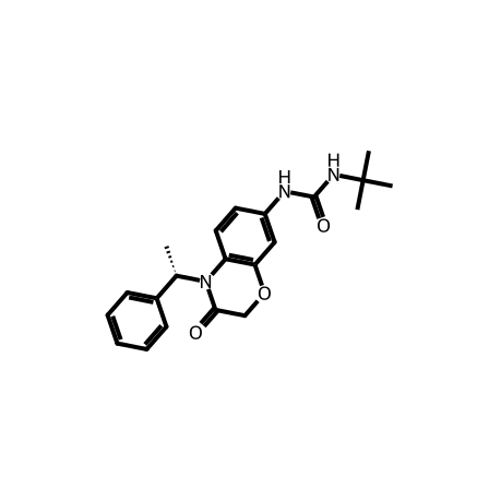 C[C@@H](c1ccccc1)N1C(=O)COc2cc(NC(=O)NC(C)(C)C)ccc21